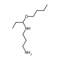 CCCCOC(CC)NCCCN